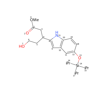 COC(=O)CC(CCO)c1cc2cc(O[Si](C(C)C)(C(C)C)C(C)C)ccc2[nH]1